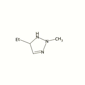 CCC1C=NN(C)N1